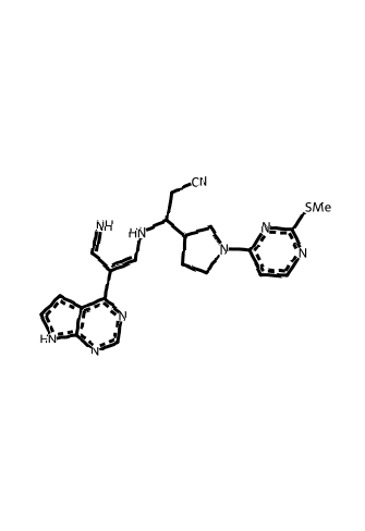 CSc1nccc(N2CCC(C(CC#N)N/C=C(\C=N)c3ncnc4[nH]ccc34)C2)n1